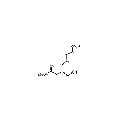 COC(=O)CC(CO)CCCCC(=O)O